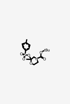 Cc1ccc(S(=O)(=O)OC2(C)CN(C(=O)OC(C)(C)C)CCO2)cc1